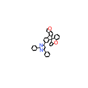 c1ccc(-c2cc(-c3ccc4c(c3)C3(c5ccccc5Oc5ccccc53)c3ccc5occc5c3-4)nc(-c3ccccc3)n2)cc1